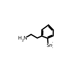 NCCc1cccc[c]1[Sn]